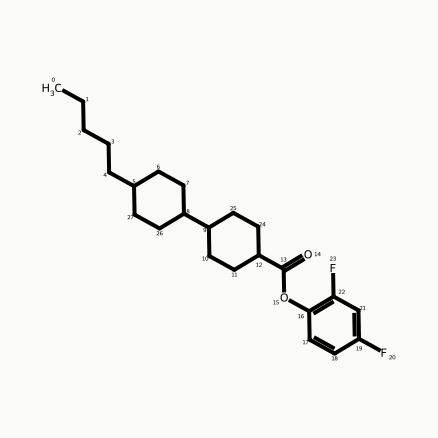 CCCCCC1CCC(C2CCC(C(=O)Oc3ccc(F)cc3F)CC2)CC1